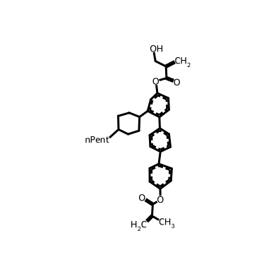 C=C(C)C(=O)Oc1ccc(-c2ccc(-c3ccc(OC(=O)C(=C)CO)cc3C3CCC(CCCCC)CC3)cc2)cc1